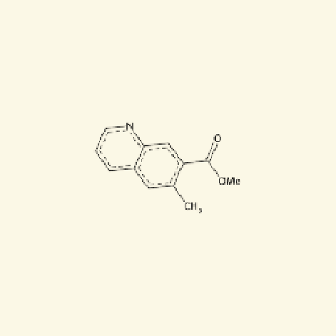 COC(=O)c1cc2ncccc2cc1C